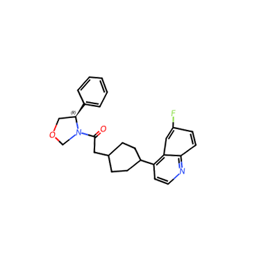 O=C(CC1CCC(c2ccnc3ccc(F)cc23)CC1)N1COC[C@H]1c1ccccc1